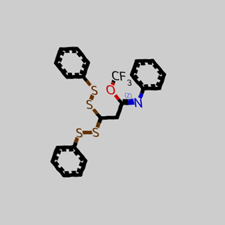 FC(F)(F)O/C(CC(SSc1ccccc1)SSc1ccccc1)=N\c1ccccc1